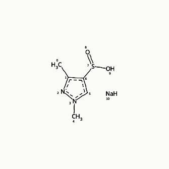 Cc1nn(C)cc1S(=O)O.[NaH]